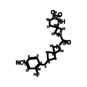 N#Cc1ccc(CC2CC3(C2)CN(C(=O)N2CC4(CCS(=O)(=O)N4)C2)C3)c(F)c1